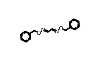 C(C=NOCc1ccccc1)=NOCc1ccccc1